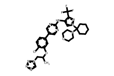 CC(Cn1cnnn1)Oc1cc(-c2cnc(Nc3cn(C4(N5CCOCC5)CCCCC4)nc3C(F)(F)F)nc2)ccc1Cl